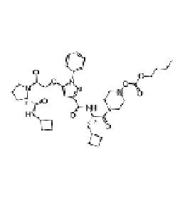 CCCCOC(=O)ON1CCN(C(=O)[C@H](CC2CCC2)NC(=O)c2cc(OCC(=O)N3CCC[C@H]3C(=O)NC3CCC3)n(-c3ccccc3)n2)CC1